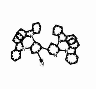 N#Cc1cc(-n2c3ccccc3c3ccccc32)c(-n2c3ccccc3c3ccccc32)cc1-c1cnc(-n2c3ccccc3c3ccccc32)c(-n2c3ccccc3c3ccccc32)c1